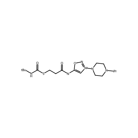 CC(C)N1CCN([n+]2cc([N-]C(=O)CCSC(=O)NC(C)(C)C)on2)CC1